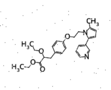 CCOC(=O)C(Cc1ccc(OCCn2c(C)ccc2-c2cccnc2)cc1)OCC